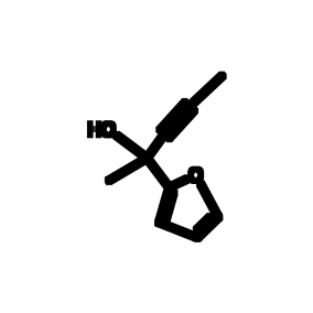 CC#CC(C)(O)c1ccco1